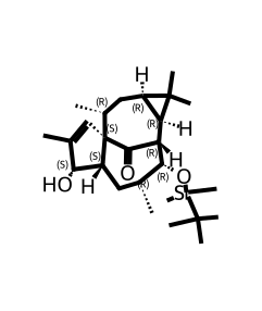 CC1=C[C@]23C(=O)[C@@H]([C@H](O[Si](C)(C)C(C)(C)C)[C@H](C)C[C@@H]2[C@@H]1O)[C@H]1[C@@H](C[C@H]3C)C1(C)C